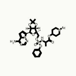 CC(=O)N1CCC(OC(=O)C(C)NP(=O)(OC[C@@]2(C)O[C@@H](c3ccc4c(N)ncnn34)[C@@H]3OC(C)(C)O[C@@H]32)Oc2ccccc2)CC1